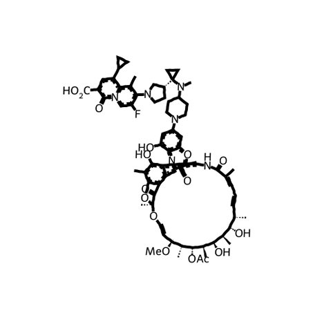 CO[C@H]1/C=C/O[C@@]2(C)Oc3c(C)c(O)c4c(=O)c(c5oc6cc(N7CCC(N(C)C8([C@@H]9CCN(c%10c(F)cn%11c(=O)c(C(=O)O)cc(C%12CC%12)c%11c%10C)C9)CC8)CC7)cc(O)c6nc-5c4c3C2=O)NC(=O)/C(C)=C\C=C\[C@H](C)[C@H](O)[C@@H](C)[C@@H](O)[C@@H](C)[C@H](OC(C)=O)[C@@H]1C